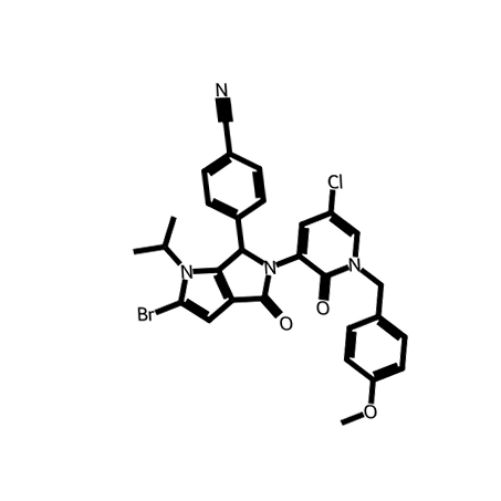 COc1ccc(Cn2cc(Cl)cc(N3C(=O)c4cc(Br)n(C(C)C)c4C3c3ccc(C#N)cc3)c2=O)cc1